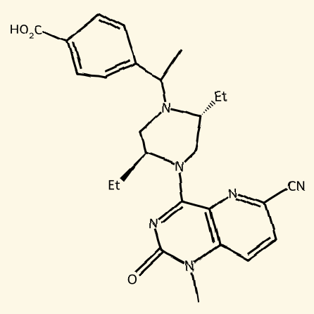 CC[C@H]1CN(C(C)c2ccc(C(=O)O)cc2)[C@H](CC)CN1c1nc(=O)n(C)c2ccc(C#N)nc12